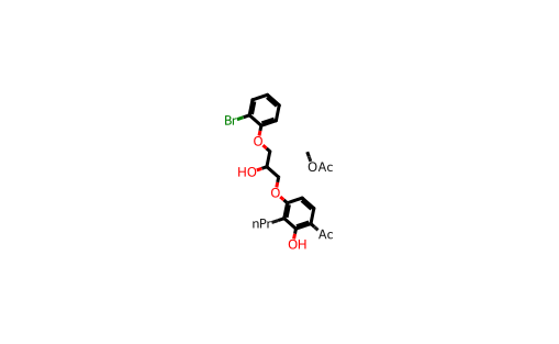 CCCc1c(OCC(O)COc2ccccc2Br)ccc(C(C)=O)c1O.COC(C)=O